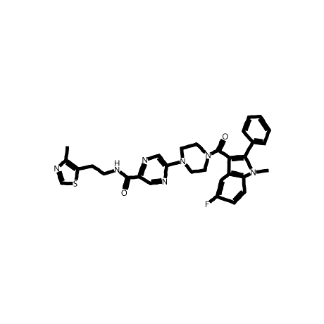 Cc1ncsc1CCNC(=O)c1cnc(N2CCN(C(=O)c3c(-c4ccccc4)n(C)c4ccc(F)cc34)CC2)cn1